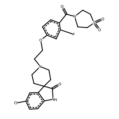 O=C(c1ccc(OCCN2CCC3(CC2)C(=O)Nc2ccc(Cl)cc23)cc1F)N1CCS(=O)(=O)CC1